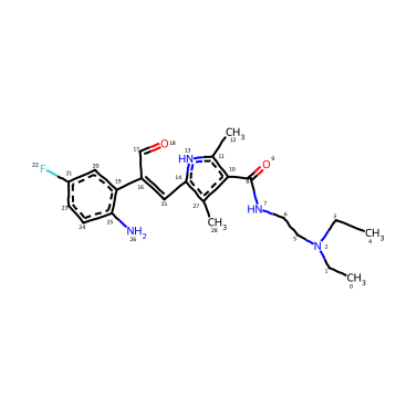 CCN(CC)CCNC(=O)c1c(C)[nH]c(/C=C(\C=O)c2cc(F)ccc2N)c1C